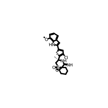 COc1cccc2cc(-c3cc(Cl)c([C@]4(C)CS(=O)(=O)C5(CCCCC5)C(=N)N4)s3)[nH]c12